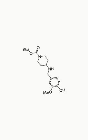 COc1cc(CNC2CCN(C(=O)OC(C)(C)C)CC2)ccc1O